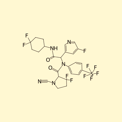 N#CN1CCC(F)(F)C1C(=O)N(c1ccc(S(F)(F)(F)(F)F)cc1)C(C(=O)NC1CCC(F)(F)CC1)c1cncc(F)c1